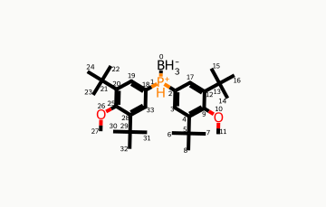 [BH3-][PH+](c1cc(C(C)(C)C)c(OC)c(C(C)(C)C)c1)c1cc(C(C)(C)C)c(OC)c(C(C)(C)C)c1